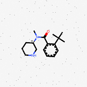 CN(C(=O)c1ccccc1C(C)(C)C)[C@@H]1CCCNC1